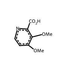 COc1ccnc(C(=O)O)c1OC